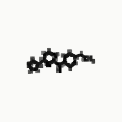 CCc1ccc(Nc2nccc(-c3ccsc3)n2)cc1